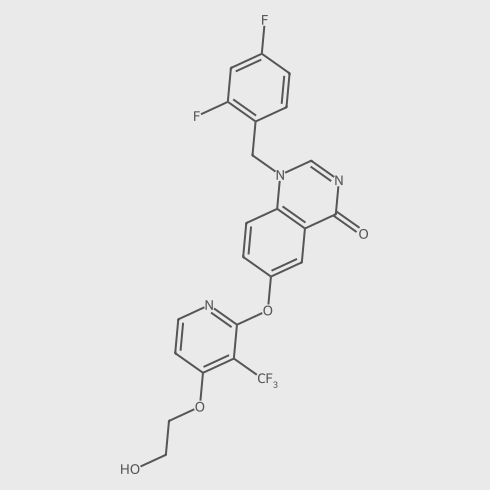 O=c1ncn(Cc2ccc(F)cc2F)c2ccc(Oc3nccc(OCCO)c3C(F)(F)F)cc12